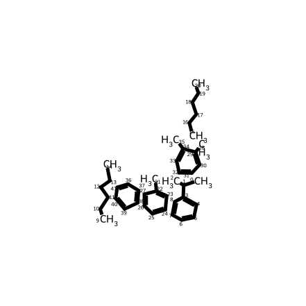 CC(C)c1ccccc1.CCCCCC.CCCCCC.Cc1ccccc1.Cc1ccccc1C.c1ccccc1